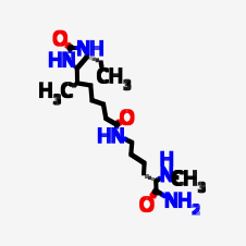 CC[C@H]1NC(=O)N[C@H]1[C@H](C)CCCCC(=O)NCCCC[C@H](NC)C(N)=O